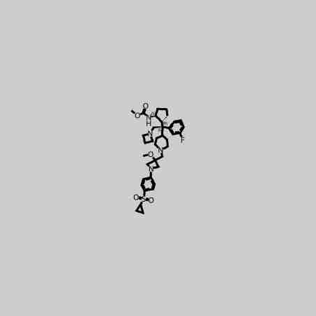 COC(=O)N[C@H]1CCC[C@@H]1[C@](CN1CCC1)(c1cccc(F)c1)C1CCN(CC2(OC)CN(c3ccc(S(=O)(=O)C4CC4)cc3)C2)CC1